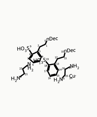 CCCCCCCCCCCCc1ccccc1S(=O)(=O)O.CCCCCCCCCCCCc1ccccc1S(=O)(=O)O.NCCN.NCCN.[Cu]